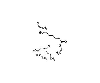 C=C.C=CCl.C=COC(=O)CCCCCC(C)(C)C.C=COC(=O)CCCCCCCCCCC